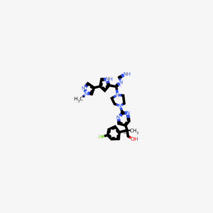 Cn1cc(-c2c[nH]c(/C(=N\C=N)N3CCN(c4ncc([C@](C)(CO)c5ccc(F)cc5)cn4)CC3)c2)cn1